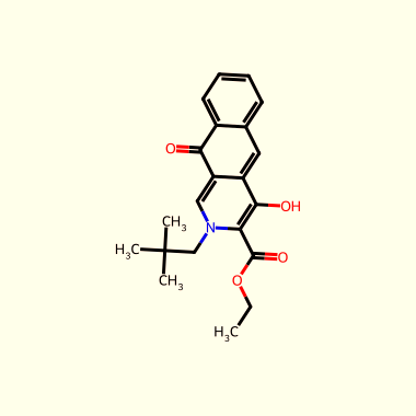 CCOC(=O)c1c(O)c2cc3ccccc3c(=O)c-2cn1CC(C)(C)C